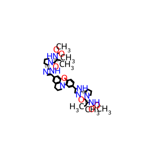 COC(=O)N[C@H](C(=O)N1CCC[C@H]1C1=NCC(c2ccc3c(c2)N2CCCc4cc(-c5cnc([C@@H]6CCCN6C(=O)[C@@H](NC(=O)OC)C(C)C)[nH]5)cc(c42)O3)N1)C(C)C